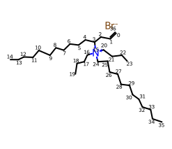 C=CCC(CCCCCCCCCCC)[N+](CCCC)(CCCC)CCCCCCCCCCCC.[Br-]